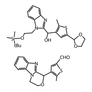 Cc1sc(C2OCCO2)cc1C(O)c1nc2ccccc2n1CCO[Si](C)(C)C(C)(C)C.Cc1sc(C=O)cc1C1OCCn2c1nc1ccccc12